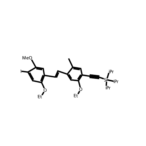 CCOc1cc(/C=C/c2cc(OC)c(I)cc2OCC)c(C)cc1C#C[Si](C(C)C)(C(C)C)C(C)C